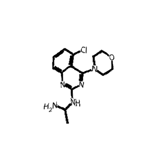 CC(N)Nc1nc(N2CCOCC2)c2c(Cl)cccc2n1